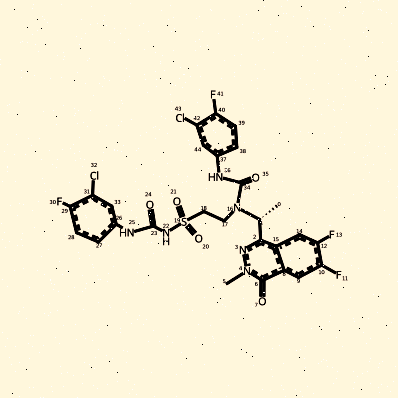 C[C@H](c1nn(C)c(=O)c2cc(F)c(F)cc12)N(CCS(=O)(=O)NC(=O)Nc1ccc(F)c(Cl)c1)C(=O)Nc1ccc(F)c(Cl)c1